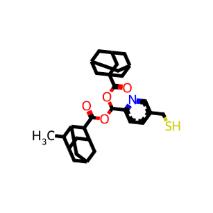 CC1C2CC3CC(C2)C(C(=O)OC(OC(=O)C24CC5CC(CC(C5)C2)C4)c2ccc(CS)cn2)C1C3